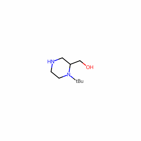 CC(C)(C)N1CCNCC1CO